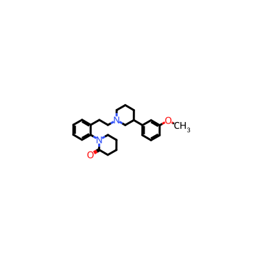 COc1cccc(C2CCCN(CCc3ccccc3N3CCCCC3=O)C2)c1